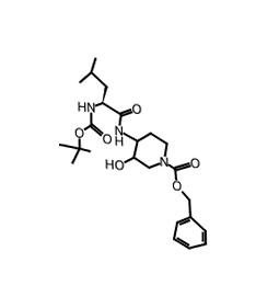 CC(C)C[C@H](NC(=O)OC(C)(C)C)C(=O)NC1CCN(C(=O)OCc2ccccc2)CC1O